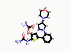 NC(=O)Nc1sc(-c2ccccc2N2CCC(N3CCOCC3)C2)cc1OC(N)=O